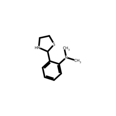 CN(C)c1ccccc1C1NCCS1